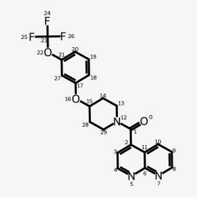 O=C(c1ccnc2ncccc12)N1CCC(Oc2cccc(OC(F)(F)F)c2)CC1